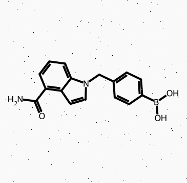 NC(=O)c1cccc2c1ccn2Cc1ccc(B(O)O)cc1